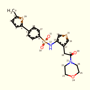 Cc1ccc(-c2ccc(S(=O)(=O)Nc3cscc3CC(=O)N3CCOCC3)cc2)s1